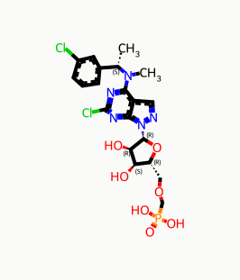 C[C@@H](c1cccc(Cl)c1)N(C)c1nc(Cl)nc2c1cnn2[C@@H]1O[C@H](COCP(=O)(O)O)[C@@H](O)[C@H]1O